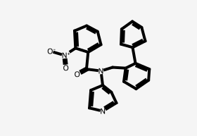 O=C(c1ccccc1[N+](=O)[O-])N(Cc1ccccc1-c1ccccc1)c1ccncc1